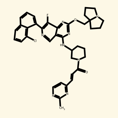 Cc1nccc(/C=C/C(=O)N2CCCC(Nc3nc(OCC45CCCN4CCC5)nc4c(F)c(-c5cccc6cccc(Cl)c56)ncc34)C2)n1